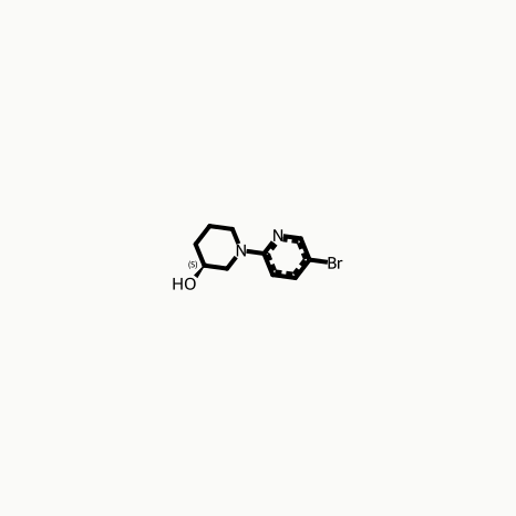 O[C@H]1CCCN(c2ccc(Br)cn2)C1